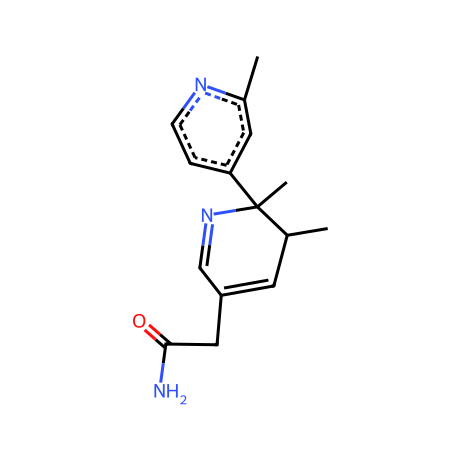 Cc1cc(C2(C)N=CC(CC(N)=O)=CC2C)ccn1